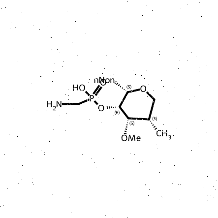 CCCCCCCCC[C@@H]1OC[C@H](C)[C@H](OC)[C@@H]1OP(=O)(O)CN